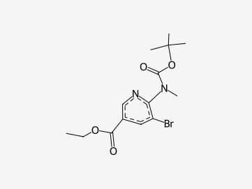 CCOC(=O)c1cnc(N(C)C(=O)OC(C)(C)C)c(Br)c1